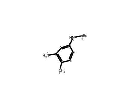 CCCCNc1ccc(C)c(N)c1